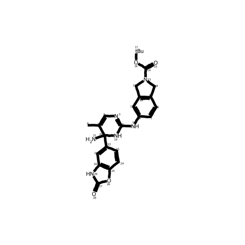 CC1=CN=C(Nc2ccc3c(c2)CN(C(=O)OC(C)(C)C)C3)NC1(N)c1ccc2oc(=O)[nH]c2c1